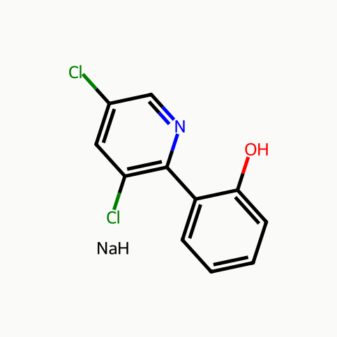 Oc1ccccc1-c1ncc(Cl)cc1Cl.[NaH]